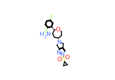 N[C@H]1C[C@@H](N2Cc3cn(S(=O)(=O)C4CC4)nc3C2)CCO[C@@H]1c1cc(F)ccc1F